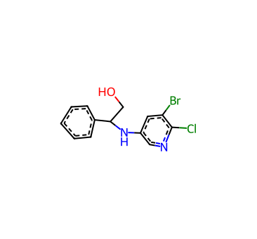 OCC(Nc1cnc(Cl)c(Br)c1)c1ccccc1